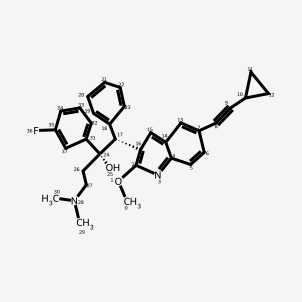 COc1nc2ccc(C#CC3CC3)cc2cc1[C@@H](c1ccccc1)[C@@](O)(CCN(C)C)c1cccc(F)c1